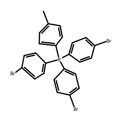 Cc1ccc([B-](c2ccc(Br)cc2)(c2ccc(Br)cc2)c2ccc(Br)cc2)cc1